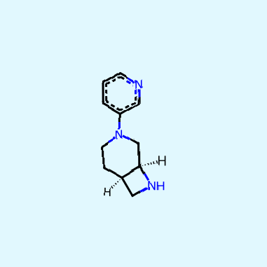 c1cncc(N2CC[C@@H]3CN[C@@H]3C2)c1